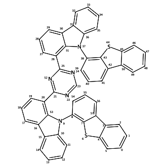 c1ccc2c(c1)sc1c(-n3c4ccccc4c4cccc(-c5ncnc(-c6cccc7c8ccccc8n(-c8cccc9c8sc8ccccc89)c67)n5)c43)cccc12